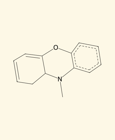 CN1c2ccccc2OC2=CC=CCC21